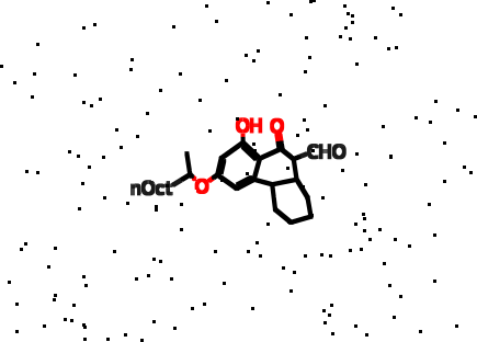 CCCCCCCCC(C)Oc1cc(O)c2c(c1)C1CCCCC1C(C=O)C2=O